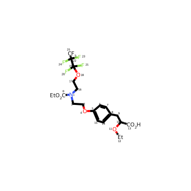 CCOC(=O)N(CCOc1ccc(CC(OCC)C(=O)O)cc1)CCOC(F)(F)C(F)(F)C(F)(F)F